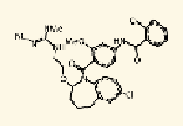 CNC(=NC#N)NCCOC1CCCc2cc(Cl)ccc2N1C(=O)c1ccc(NC(=O)c2ccccc2Cl)cc1OC